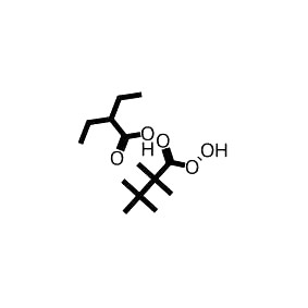 CC(C)(C)C(C)(C)C(=O)OO.CCC(CC)C(=O)O